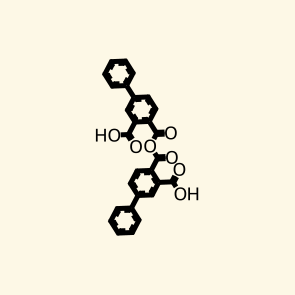 O=C(O)c1cc(-c2ccccc2)ccc1C(=O)OC(=O)c1ccc(-c2ccccc2)cc1C(=O)O